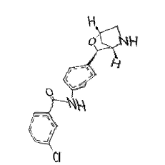 O=C(Nc1ccc([C@H]2O[C@@H]3CN[C@H]2C3)cc1)c1cccc(Cl)c1